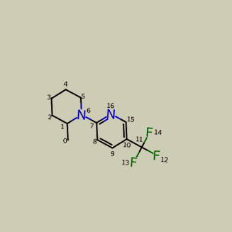 CC1CCCCN1c1ccc(C(F)(F)F)cn1